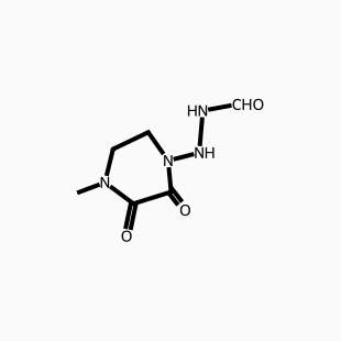 CN1CCN(NNC=O)C(=O)C1=O